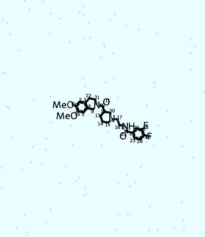 COc1cc2c(cc1OC)CN(C(=O)C1CCCN(CCNC(=O)c3ccc(F)c(F)c3)C1)CC2